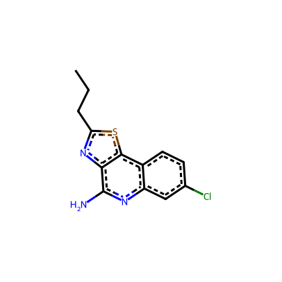 CCCc1nc2c(N)nc3cc(Cl)ccc3c2s1